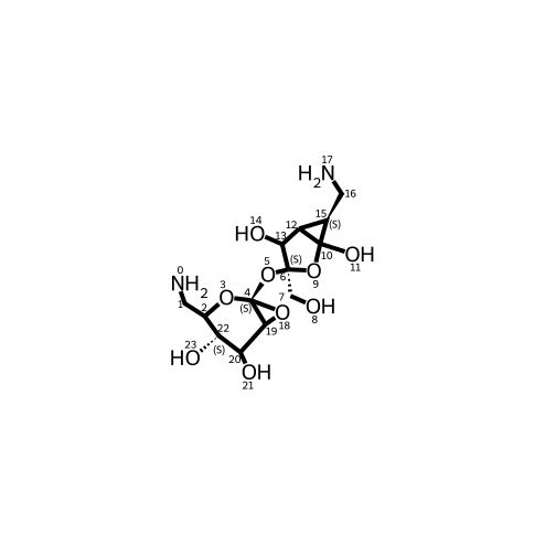 NCC1O[C@]2(O[C@]3(CO)OC4(O)C(C3O)[C@H]4CN)OC2C(O)[C@@H]1O